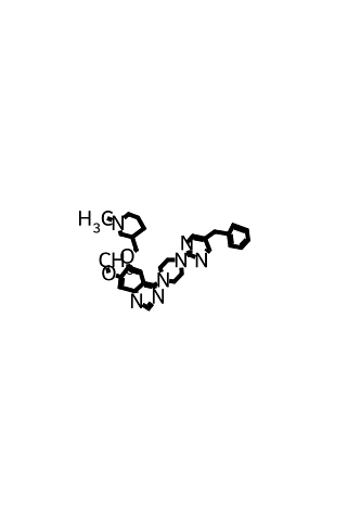 COc1cc2ncnc(N3CCN(c4ncc(Cc5ccccc5)cn4)CC3)c2cc1OCC1CCCN(C)C1